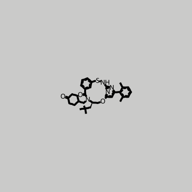 Cc1cccc(C)c1-c1cc2nc(n1)NSc1cccc(c1)C(=O)N(CC1CCC(=O)CC1)[C@H](CC(C)(C)C)CO2